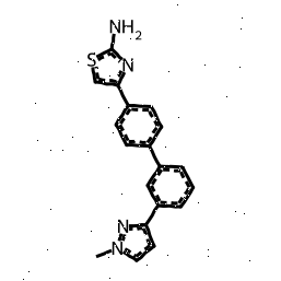 Cn1ccc(-c2cccc(-c3ccc(-c4csc(N)n4)cc3)c2)n1